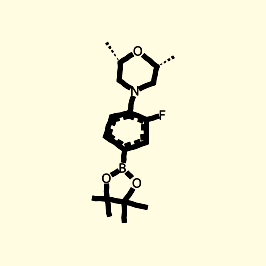 C[C@@H]1CN(c2ccc(B3OC(C)(C)C(C)(C)O3)cc2F)C[C@H](C)O1